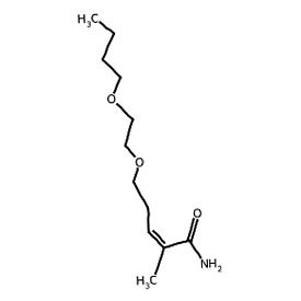 CCCCOCCOCCC=C(C)C(N)=O